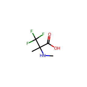 CNC(C)(C(=O)O)C(F)(F)F